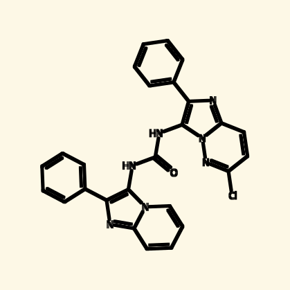 O=C(Nc1c(-c2ccccc2)nc2ccccn12)Nc1c(-c2ccccc2)nc2ccc(Cl)nn12